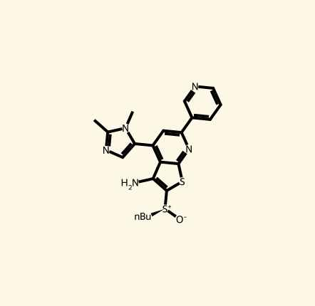 CCCC[S@+]([O-])c1sc2nc(-c3cccnc3)cc(-c3cnc(C)n3C)c2c1N